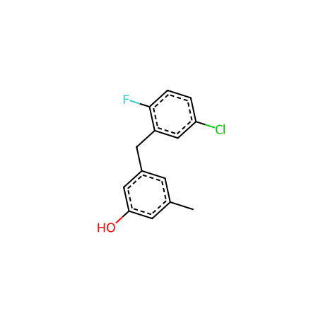 Cc1cc(O)cc(Cc2cc(Cl)ccc2F)c1